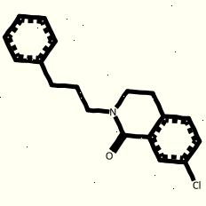 O=C1c2cc(Cl)ccc2CCN1CCCc1ccccc1